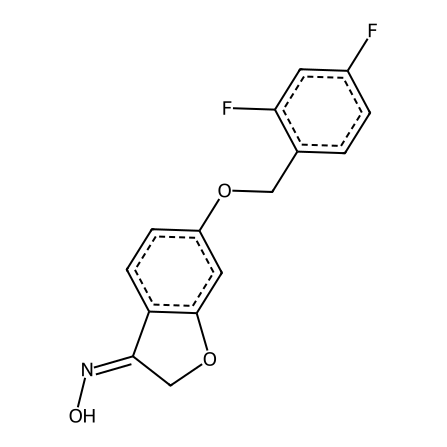 O/N=C1\COc2cc(OCc3ccc(F)cc3F)ccc21